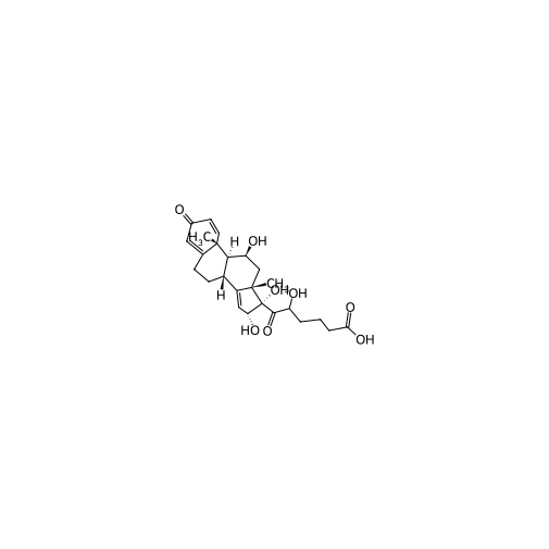 C[C@]12C=CC(=O)C=C1CC[C@H]1C3=C[C@@H](O)[C@](O)(C(=O)C(O)CCCC(=O)O)[C@@]3(C)C[C@H](O)[C@@H]12